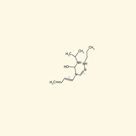 C=C/C=C/N(/C=N\NCCC)C(O)NC(C)C